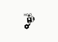 O=C(O)N1CC2CN(Cc3ccccc3)CC3(C2)OCCOC13